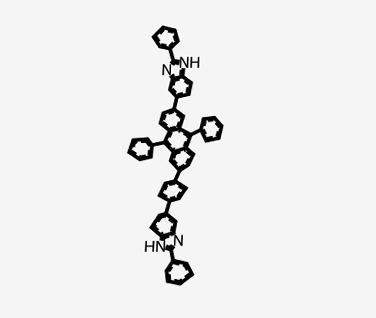 c1ccc(-c2nc3cc(-c4ccc(-c5ccc6c(-c7ccccc7)c7cc(-c8ccc9[nH]c(-c%10ccccc%10)nc9c8)ccc7c(-c7ccccc7)c6c5)cc4)ccc3[nH]2)cc1